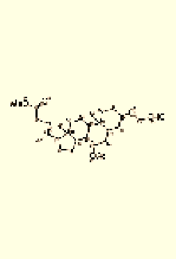 COC(=O)CC[C@@H](C)C1CCC2C3C(OC(C)=O)CC4CC(OCC=O)CCC4(C)C3CCC21C